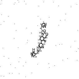 O=C1OC(Cn2ccnn2)CN1c1ccc(-c2ccc(CNCc3cnn[nH]3)nc2)c(F)c1F